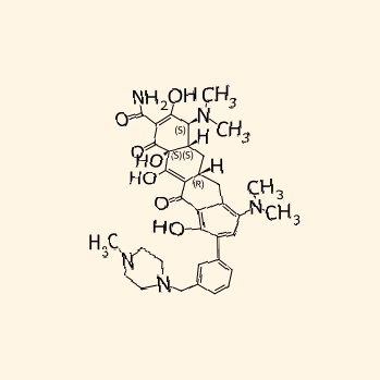 CN1CCN(Cc2cccc(-c3cc(N(C)C)c4c(c3O)C(=O)C3=C(O)[C@]5(O)C(=O)C(C(N)=O)=C(O)[C@@H](N(C)C)[C@@H]5C[C@@H]3C4)c2)CC1